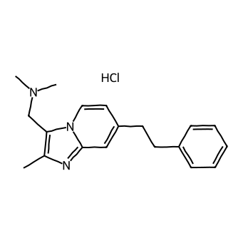 Cc1nc2cc(CCc3ccccc3)ccn2c1CN(C)C.Cl